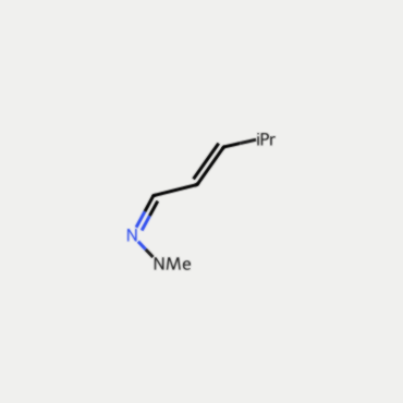 CN/N=C\C=CC(C)C